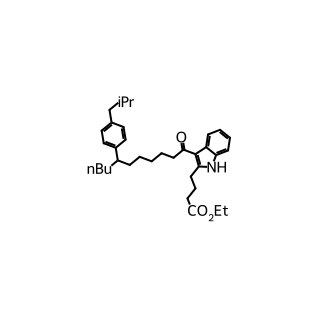 CCCCC(CCCCCC(=O)c1c(CCCC(=O)OCC)[nH]c2ccccc12)c1ccc(CC(C)C)cc1